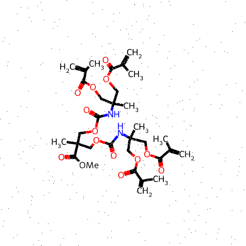 C=C(C)C(=O)OCC(C)(COC(=O)C(=C)C)NC(=O)OCC(C)(COC(=O)NC(C)(COC(=O)C(=C)C)COC(=O)C(=C)C)C(=O)OC